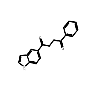 O=C(CCC(=O)c1ccc2[nH]ccc2c1)c1ccccc1